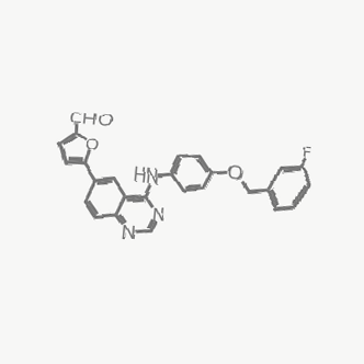 O=Cc1ccc(-c2ccc3ncnc(Nc4ccc(OCc5cccc(F)c5)cc4)c3c2)o1